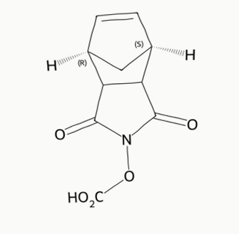 O=C(O)ON1C(=O)C2C(C1=O)[C@H]1C=C[C@@H]2C1